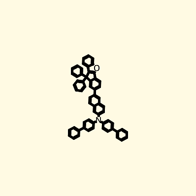 c1ccc(-c2ccc(N(c3ccc(-c4ccccc4)cc3)c3ccc4cc(-c5ccc6c(c5)C(c5ccccc5)(c5ccccc5)c5c-6oc6ccccc56)ccc4c3)cc2)cc1